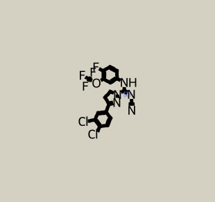 N#C/N=C(/Nc1ccc(F)c(OC(F)(F)F)c1)N1CCC(c2ccc(Cl)c(Cl)c2)=N1